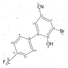 N#Cc1cc(Br)c(O)c(-c2ccc(C(F)(F)F)cc2)c1